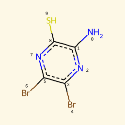 Nc1nc(Br)c(Br)nc1S